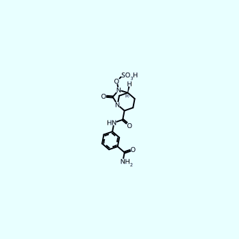 NC(=O)c1cccc(NC(=O)C2CC[C@@H]3CN2C(=O)N3OS(=O)(=O)O)c1